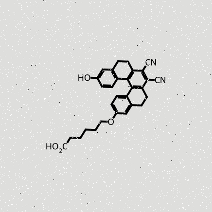 N#Cc1c(C#N)c2c(c3c1CCc1cc(O)ccc1-3)-c1ccc(OCCCCCC(=O)O)cc1CC2